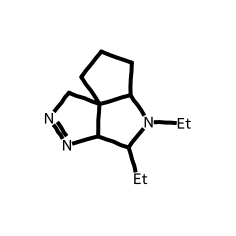 CCC1C2N=NCC23CCCC3N1CC